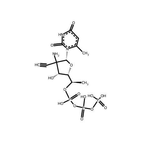 C#CC1(N)[C@@H](O)[C@@H]([C@@H](C)OP(=O)(O)OP(=O)(O)OP(=O)(O)O)O[C@H]1n1c(C)cc(=O)[nH]c1=O